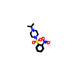 CC(C)N1CCN(S(=O)(=O)c2ccccc2[N+](=O)[O-])CC1